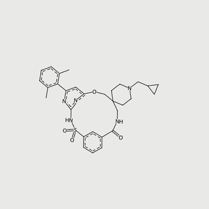 Cc1cccc(C)c1-c1cc2nc(n1)NS(=O)(=O)c1cccc(c1)C(=O)NCC1(CCN(CC3CC3)CC1)CO2